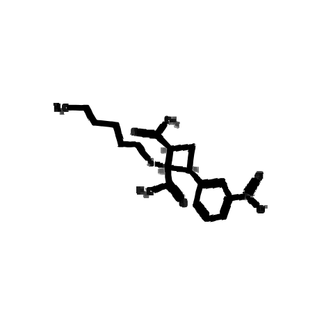 CCCCCCS[C@]1(C(C)=O)[C@@H](C(C)=O)C[C@H]1c1cccc([N+](=O)[O-])c1